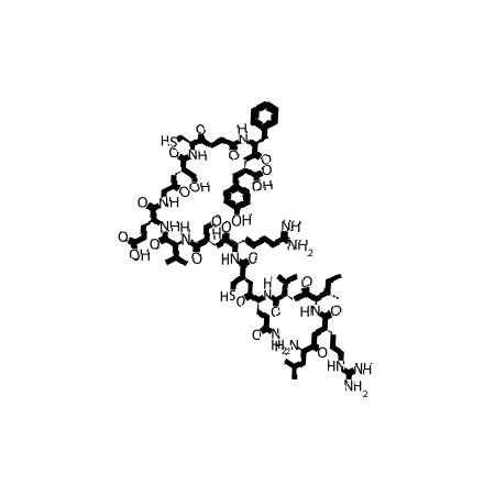 CC[C@H](C)[C@H](NC(=O)[C@H](CCCNC(=N)N)CC(=O)[C@@H](N)CC(C)C)C(=O)C[C@H](C(=O)N[C@@H](CCC(N)=O)C(=O)C[C@@H](CS)C(=O)N[C@@H](CCCCC(=N)N)C(=O)C[C@@H](CO)C(=O)N[C@H](C(=O)N[C@@H](CCC(=O)O)C(=O)NCC(=O)C[C@@H](CO)C(=O)N[C@@H](CS)C(=O)CCC(=O)N[C@@H](Cc1ccccc1)C(=O)C[C@@H](Cc1ccc(O)cc1)C(=O)O)C(C)C)C(C)C